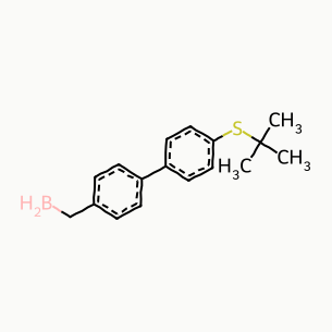 BCc1ccc(-c2ccc(SC(C)(C)C)cc2)cc1